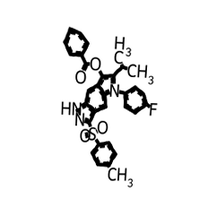 Cc1ccc(S(=O)(=O)c2n[nH]c3cc4c(OC(=O)c5ccccc5)c(C(C)C)n(-c5ccc(F)cc5)c4cc23)cc1